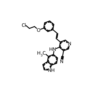 Cc1c(Nc2c(C#N)cncc2C=Cc2cccc(OCCCl)c2)ccc2[nH]ccc12